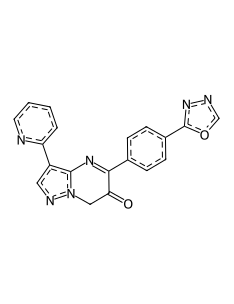 O=C1Cn2ncc(-c3ccccn3)c2N=C1c1ccc(-c2nnco2)cc1